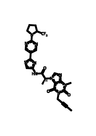 CC#CCn1c(=O)c2c(ncn2[C@@H](C)C(=O)Nc2csc(-c3cnc(N4CCCC4C(F)(F)F)nc3)n2)n(C)c1=O